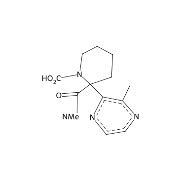 CNC(=O)C1(c2nccnc2C)CCCCN1C(=O)O